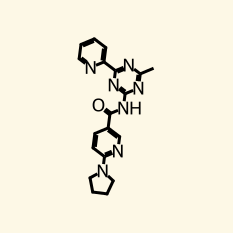 Cc1nc(NC(=O)c2ccc(N3CCCC3)nc2)nc(-c2ccccn2)n1